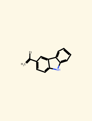 C=C(CC)c1ccc2[nH]c3ccccc3c2c1